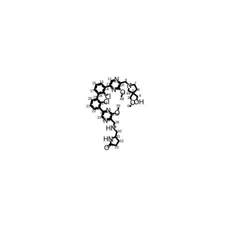 COCC1(CO)CCN(Cc2ncc(-c3cccc(-c4cccc(-c5cnc(CNCC6CCC(=O)N6)c(OC)n5)c4Cl)c3Cl)nc2OC)C1